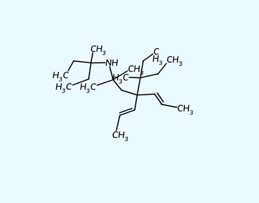 CC=CC(C=CC)(CC(C)(C)NC(C)(CC)CC)C(C)(CC)CC